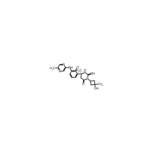 Cc1cnc(Nc2cccc([C@]3(C)CC(=O)N(C4CC(C)(O)C4)C(=N)N3)c2Cl)cn1